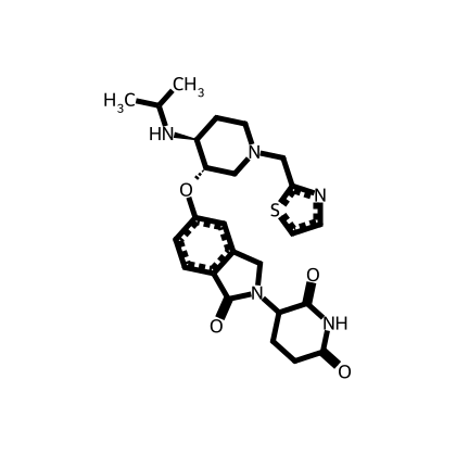 CC(C)N[C@H]1CCN(Cc2nccs2)C[C@@H]1Oc1ccc2c(c1)CN(C1CCC(=O)NC1=O)C2=O